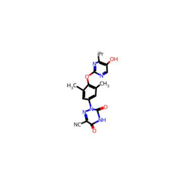 Cc1cc(-n2nc(C#N)c(=O)[nH]c2=O)cc(C)c1Oc1ncc(O)c(C(C)C)n1